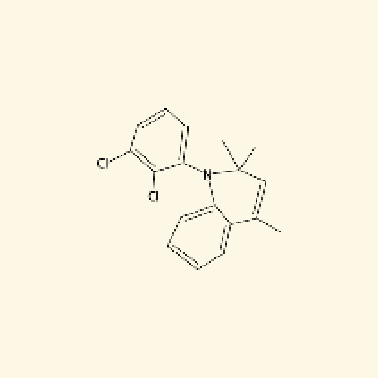 CC1=CC(C)(C)N(c2cccc(Cl)c2Cl)c2ccccc21